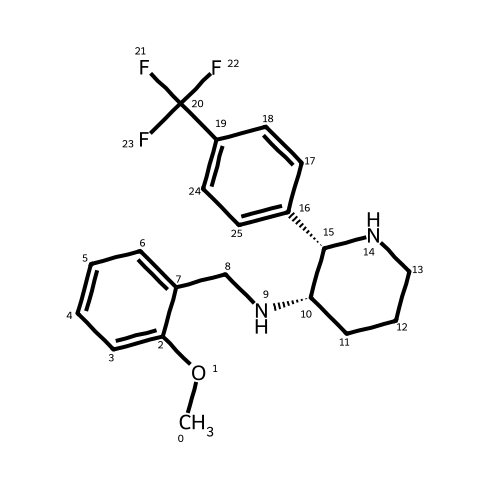 COc1ccccc1CN[C@H]1CCCN[C@H]1c1ccc(C(F)(F)F)cc1